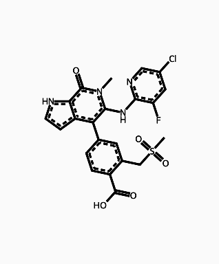 Cn1c(Nc2ncc(Cl)cc2F)c(-c2ccc(C(=O)O)c(CS(C)(=O)=O)c2)c2cc[nH]c2c1=O